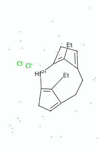 CCC1=[C]2CC=C1CCC1=CC[C](=C1CC)[Hf+2]2.[Cl-].[Cl-]